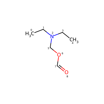 CCN(CC)COC=O